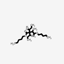 CCCCCOC(=O)C(C)C(C(=O)OCCCCC)(C(C)CC)C(C)CC